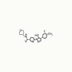 Cc1ccc(-c2cnn(-c3ccc(C(=O)NCC4CCOCC4)cn3)c2O)cc1F